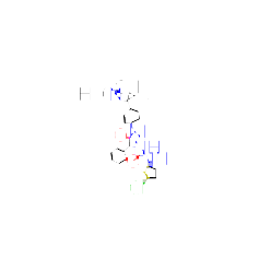 CN(C)CC1(c2ccc(NC(=O)C(NC(=O)Nc3ccc(Cl)s3)c3ccccc3)cc2)CC1